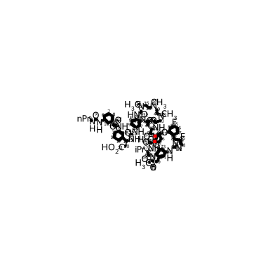 CCCNC(=O)Nc1cccc(S(=O)(=O)Nc2cccc([C@H](CC(=O)O)NC(=O)Nc3ccc(NC(=O)N(C)CCN(C)CCN(C)CC(=O)N[C@@H](CC(N)=O)C(=O)N4CCC[C@H]4C(=O)N[C@H](C(=O)N=S(C)(=O)Cc4cc5cc(c4)OC(C)CCOc4cc(F)ccc4-c4nc(ncc4F)N5)C(C)C)cc3)c2)c1